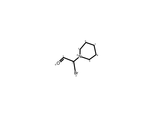 O=CC(Br)N1CCCCC1